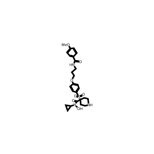 COc1ccc(C(=O)NCCCOc2ccc(S(=O)(=O)C3(C(=O)N(O)C4CC4)CCNCC3)cc2)cc1